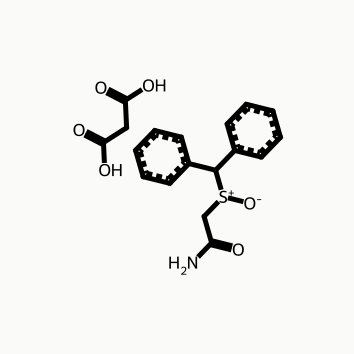 NC(=O)C[S+]([O-])C(c1ccccc1)c1ccccc1.O=C(O)CC(=O)O